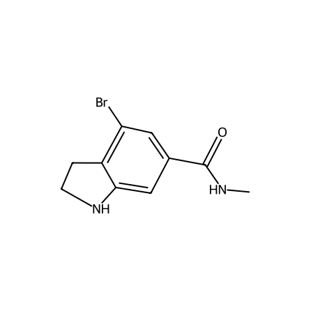 CNC(=O)c1cc(Br)c2c(c1)NCC2